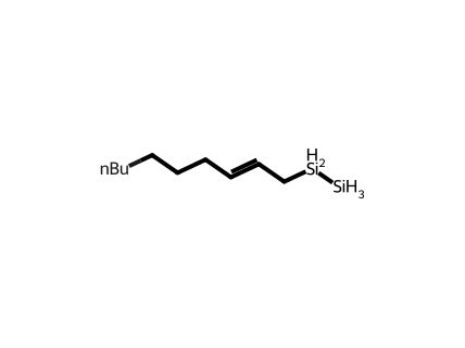 CCCCCCCC=CC[SiH2][SiH3]